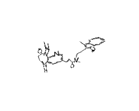 Cc1c(CN(C)C(=O)/C=C/c2cnc3c(c2)NCCC(=O)N3)oc2ccccc12